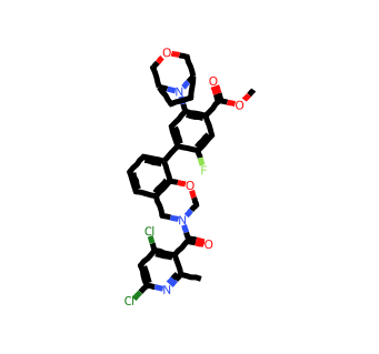 COC(=O)c1cc(F)c(-c2cccc3c2OCN(C(=O)c2c(Cl)cc(Cl)nc2C)C3)cc1N1C2CCC1COC2